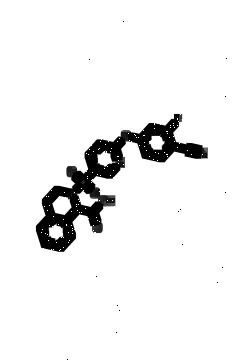 N#Cc1ccc(Oc2ccc(S(=O)(=O)N3CCc4ccccc4C3C(=O)O)cn2)cc1F